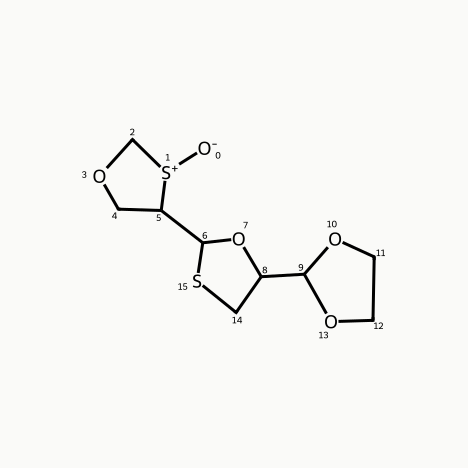 [O-][S+]1COCC1C1OC(C2OCCO2)CS1